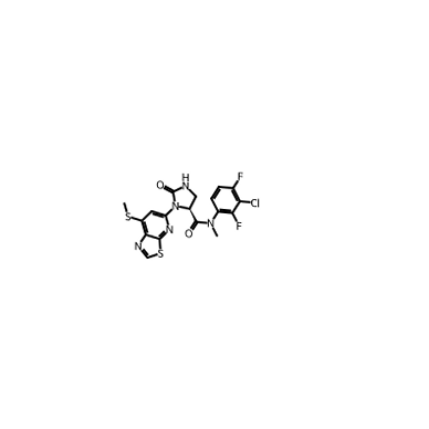 CSc1cc(N2C(=O)NC[C@H]2C(=O)N(C)c2ccc(F)c(Cl)c2F)nc2scnc12